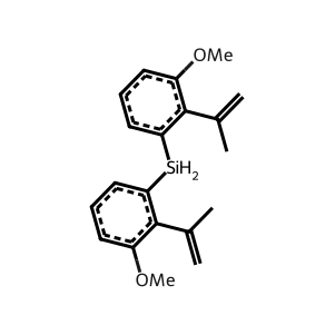 C=C(C)c1c(OC)cccc1[SiH2]c1cccc(OC)c1C(=C)C